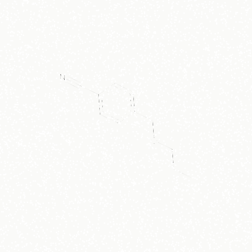 CCCOCc1ccc(C#N)cc1